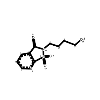 O=C1c2cccnc2S(=O)(=O)N1CCCCO